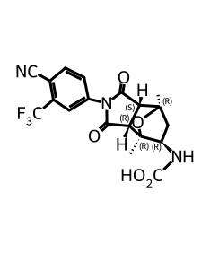 C[C@]12O[C@](C)(C[C@H]1NC(=O)O)[C@H]1C(=O)N(c3ccc(C#N)c(C(F)(F)F)c3)C(=O)[C@H]12